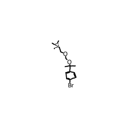 CC(C)(OCOCC[Si](C)(C)C)c1ccc(Br)cc1